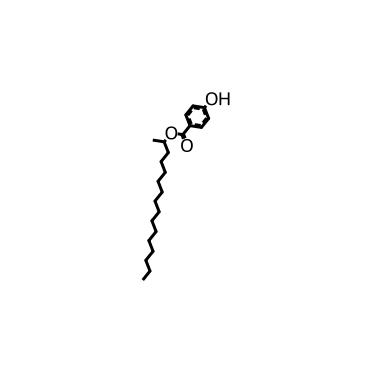 CCCCCCCCCCCCCCC(C)OC(=O)c1ccc(O)cc1